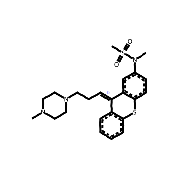 CN1CCN(CC/C=C2\c3ccccc3Sc3ccc(N(C)S(C)(=O)=O)cc32)CC1